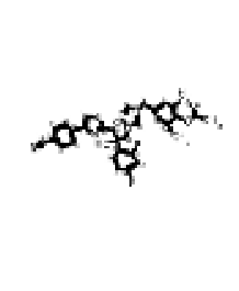 CC(=O)Oc1c(C)cc(C[n+]2cnn(C[C@](O)(c3ccc(F)cc3F)[C@@H](C)c3nc(-c4ccc(C#N)cc4)cs3)c2)cc1C